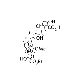 CCOC(=O)C1OC(C2(C)OC3(OC4(C=CC3O)OC(C(C)C(=O)C(C)C(O)C(C)CC(C)c3c(Cl)cc(C)c(O)c3C(=O)O)C(C)CC4C)C(C)C2OC)CC1O